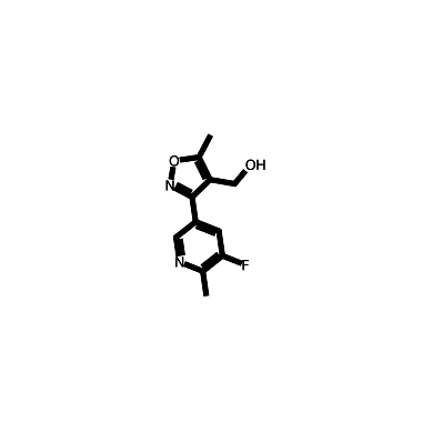 Cc1ncc(-c2noc(C)c2CO)cc1F